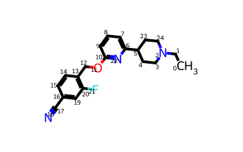 CCN1CCC(c2cccc(OCc3ccc(C#N)cc3F)n2)CC1